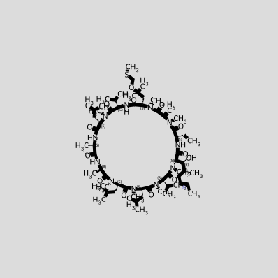 C=C1C(=O)N(C)[C@@H](CC(C)(C)OCSC)C(=O)N[C@@H](C(C)C)C(=O)N(C)[C@@H](CC(C)C)C(=O)N[C@@H](C)C(=O)N[C@H](C)C(=O)N(C)[C@@H](CC(C)C)C(=O)N(C)[C@@H](CC(C)C)C(=O)N(C)[C@@H](C(C)C)C(=O)N(C)[C@@H]([C@H](O)[C@H](C)C/C=C/C)C(=O)N[C@@H](CC)C(=O)N1C